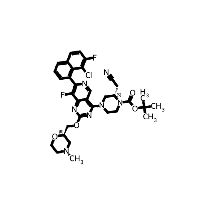 CN1CCO[C@@H](COc2nc(N3CCN(C(=O)OC(C)(C)C)[C@@H](CC#N)C3)c3cnc(-c4cccc5ccc(F)c(Cl)c45)c(F)c3n2)C1